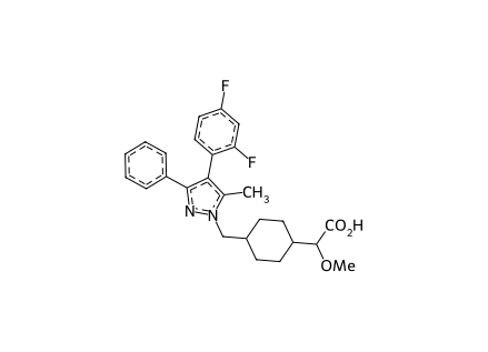 COC(C(=O)O)C1CCC(Cn2nc(-c3ccccc3)c(-c3ccc(F)cc3F)c2C)CC1